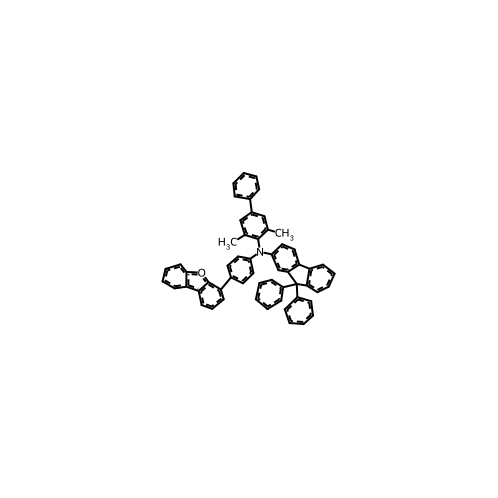 Cc1cc(-c2ccccc2)cc(C)c1N(c1ccc(-c2cccc3c2oc2ccccc23)cc1)c1ccc2c(c1)C(c1ccccc1)(c1ccccc1)c1ccccc1-2